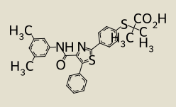 Cc1cc(C)cc(NC(=O)c2nc(-c3ccc(SC(C)(C)C(=O)O)cc3)sc2-c2ccccc2)c1